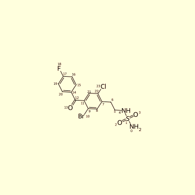 NS(=O)(=O)NCCc1cc(Br)c(C(=O)c2ccc(F)cc2)cc1Cl